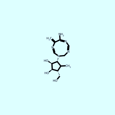 C=C1/N=C\N([C@@H]2C(C)[C@H](CO)[C@@H](O)[C@H]2O)C/N=C\N=C/1N